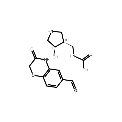 O=C(O)NC[C@H]1CNC[C@H]1O.O=Cc1ccc2c(c1)NC(=O)CO2